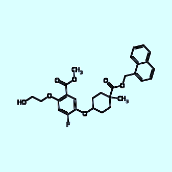 COC(=O)c1cc(OC2CCC(C)(C(=O)OCc3cccc4ccccc34)CC2)c(F)cc1OCCO